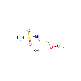 COCCNS(N)(=O)=O.[KH]